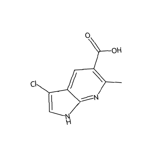 Cc1nc2[nH]cc(Cl)c2cc1C(=O)O